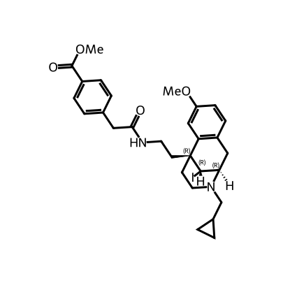 COC(=O)c1ccc(CC(=O)NCC[C@@]23CCN(CC4CC4)[C@H](Cc4ccc(OC)cc42)[C@@H]3I)cc1